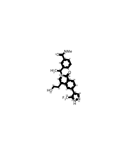 CNC(=O)c1cccc(C(C)n2cc(CCO)c3cc(-c4cn[nH]c4C(F)(F)F)ccc3c2=O)c1